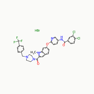 Br.Cn1c(C(=O)N2CCN(Cc3ccc(C(F)(F)F)cc3)CC2)cc2ccc(Oc3ccc(NC(=O)c4ccc(Cl)c(Cl)c4)cn3)cc21